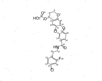 O=C(O)OC1CCOc2cc(Oc3ccc(C(=O)NCCc4ccc(Cl)cc4F)cc3)c(Cl)cc21